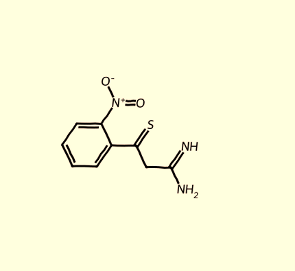 N=C(N)CC(=S)c1ccccc1[N+](=O)[O-]